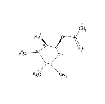 CC(=N)O[C@H]1OC(C)[C@H](OC(C)=O)C(C)[C@H]1C